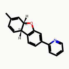 CC1=C[C@@H]2Oc3cc(-c4ccccn4)ccc3[C@@H]2C=C1